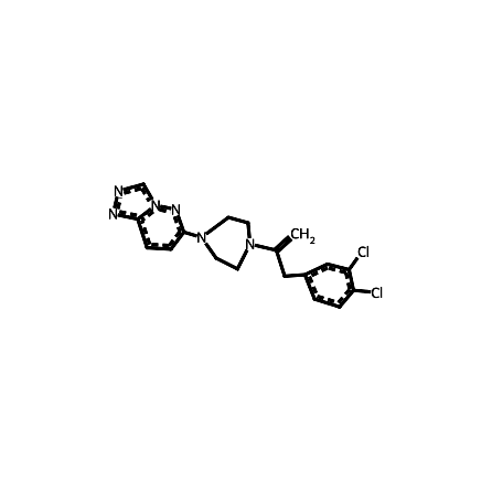 C=C(Cc1ccc(Cl)c(Cl)c1)N1CCN(c2ccc3nncn3n2)CC1